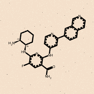 NC(=O)c1cc(F)c(N[C@@H]2CCCC[C@@H]2N)nc1Nc1ccnc(-c2ccc3ccncc3c2)c1